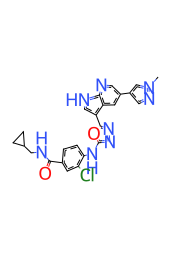 Cn1cc(-c2cnc3[nH]cc(-c4nnc(Nc5ccc(C(=O)NCC6CC6)cc5Cl)o4)c3c2)cn1